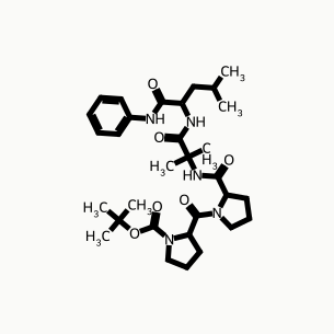 CC(C)CC(NC(=O)C(C)(C)NC(=O)C1CCCN1C(=O)C1CCCN1C(=O)OC(C)(C)C)C(=O)Nc1ccccc1